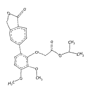 COc1ccc(-c2ccc3c(c2)COC3=O)c(OCC(=O)OC(C)C)c1OC